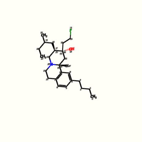 CCCCc1ccc2c(c1)[C@H]1C[C@](O)(CCF)[C@H](CC(C)CC)CN1CC2